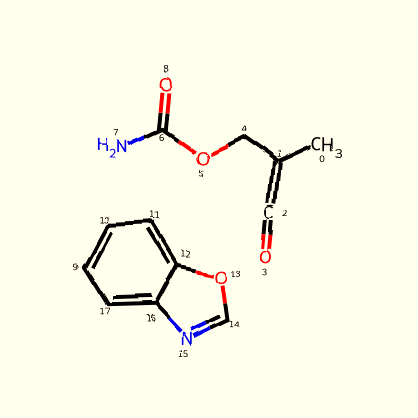 CC(=C=O)COC(N)=O.c1ccc2ocnc2c1